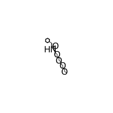 COCCOCCOCCOCCNC(=O)C=Cc1ccccc1